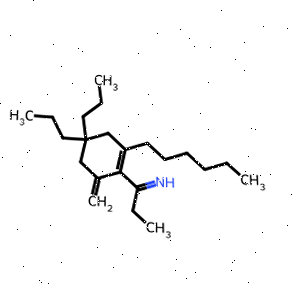 C=C1CC(CCC)(CCC)CC(CCCCCC)=C1C(=N)CC